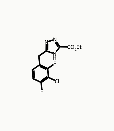 CCOC(=O)c1nnc(Cc2ccc(F)c(Cl)c2F)[nH]1